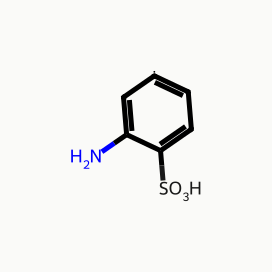 Nc1c[c]ccc1S(=O)(=O)O